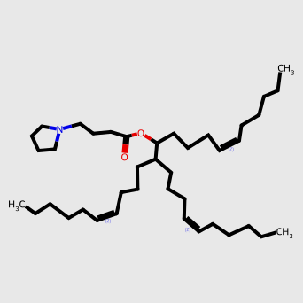 CCCCC/C=C\CCCC(CCC/C=C\CCCCC)C(CCC/C=C\CCCCC)OC(=O)CCCN1CCCC1